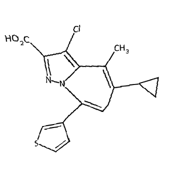 Cc1c(C2CC2)cc(-c2ccsc2)n2nc(C(=O)O)c(Cl)c12